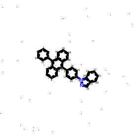 c1ccc(-c2c3ccccc3c(-c3ccc(-n4ncc5ccccc54)cc3)c3ccccc23)cc1